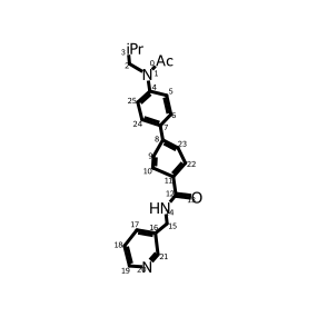 CC(=O)N(CC(C)C)c1ccc(-c2ccc(C(=O)NCc3cccnc3)cc2)cc1